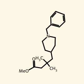 COC(=O)CC(C)(C)CC1CCN(Cc2ccccc2)CC1